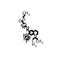 CCCOC(=O)c1nnc(N=Nc2cc3c(cc2NS(=O)(=O)C(F)(F)F)N(C(CC)CC)CCC3)s1